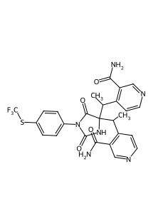 CC(c1ccncc1C(N)=O)C1(C(C)c2ccncc2C(N)=O)NC(=O)N(c2ccc(SC(F)(F)F)cc2)C1=O